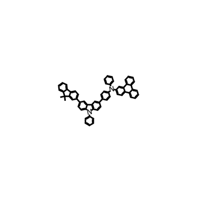 CC1(C)c2ccccc2-c2ccc(-c3ccc4c(c3)c3cc(-c5ccc(N(c6ccccc6)c6ccc7c8ccccc8c8ccccc8c7c6)cc5)ccc3n4-c3ccccc3)cc21